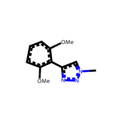 COc1cccc(OC)c1-c1cn(C)nn1